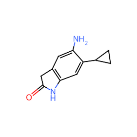 Nc1cc2c(cc1C1CC1)NC(=O)C2